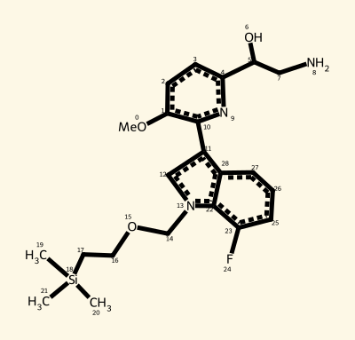 COc1ccc(C(O)CN)nc1-c1cn(COCC[Si](C)(C)C)c2c(F)cccc12